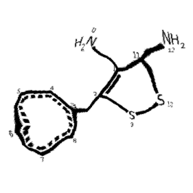 NC1=C(c2ccccc2)SSC1N